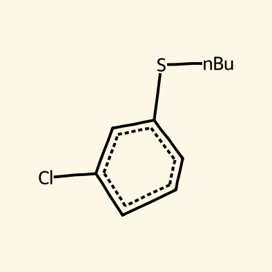 CCCCSc1cccc(Cl)c1